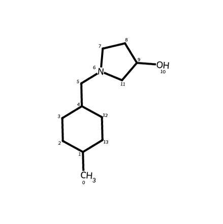 CC1CCC(CN2CCC(O)C2)CC1